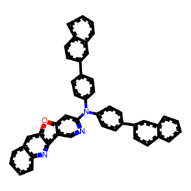 c1ccc2cc(-c3ccc(N(c4ccc(-c5ccc6ccccc6c5)cc4)c4cc5oc6cc7ccccc7nc6c5cn4)cc3)ccc2c1